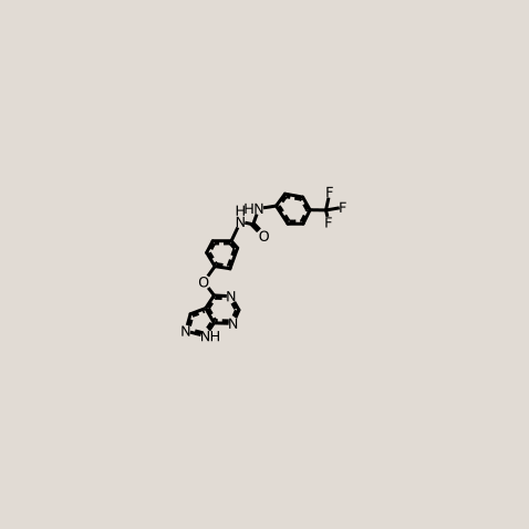 O=C(Nc1ccc(Oc2ncnc3[nH]ncc23)cc1)Nc1ccc(C(F)(F)F)cc1